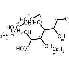 CC(=O)O.O=C(O)C(O)C(O)C(O)C(O)CO.O=C(O)O.[CaH2].[CaH2].[CaH2]